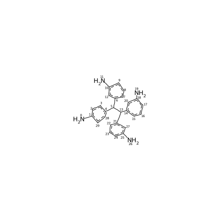 Nc1ccc(C(c2cccc(N)c2)C(c2cccc(N)c2)c2cccc(N)c2)cc1